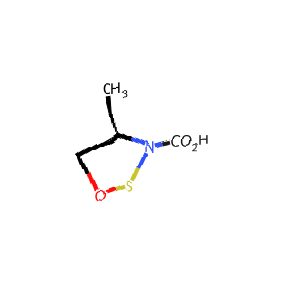 C[C@@H]1COSN1C(=O)O